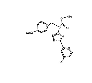 COc1ccc(CN(C(=O)OC(C)(C)C)c2nc(-c3cc(C(F)(F)F)ccn3)cs2)cc1